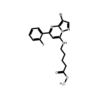 COC(=O)CCCCNc1cc(-c2ccccc2F)nc2c(Br)cnn12